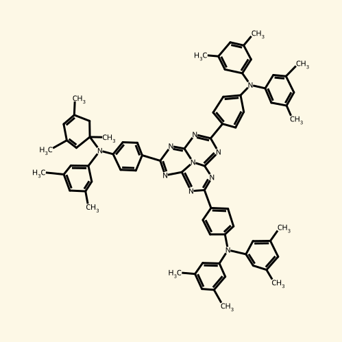 CC1=CC(C)(N(c2ccc(C3=NC4=NC(c5ccc(N(c6cc(C)cc(C)c6)c6cc(C)cc(C)c6)cc5)=NC5=NC(c6ccc(N(c7cc(C)cc(C)c7)c7cc(C)cc(C)c7)cc6)=NC(=N3)N54)cc2)c2cc(C)cc(C)c2)CC(C)=C1